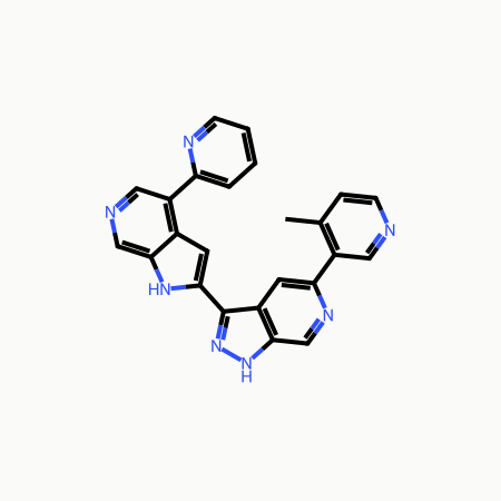 Cc1ccncc1-c1cc2c(-c3cc4c(-c5ccccn5)cncc4[nH]3)n[nH]c2cn1